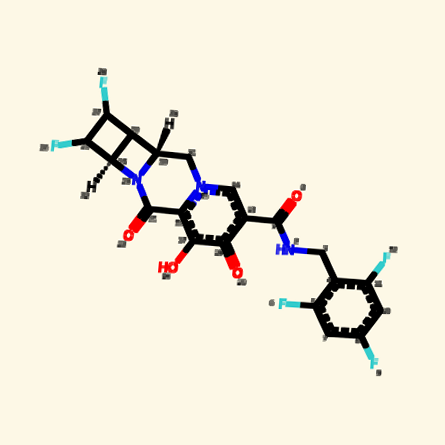 O=C(NCc1c(F)cc(F)cc1F)c1cn2c(c(O)c1=O)C(=O)N1[C@H]3C(F)C(F)C3[C@@H]1C2